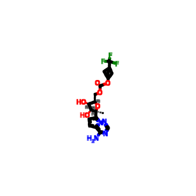 C[C@@]1(c2ccc3c(N)ncnn23)O[C@H](COC(=O)OC23CC(C(F)(F)F)(C2)C3)[C@@H](O)[C@H]1O